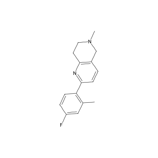 Cc1cc(F)ccc1-c1ccc2c(n1)CCN(C)C2